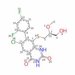 CO[C@@H](CO)CSc1c(-c2ccc(F)cc2F)c(Cl)cc2c(=O)[nH]c(=O)[nH]c12